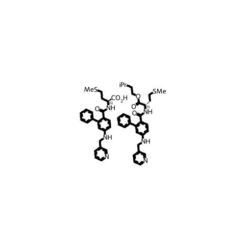 CSCC[C@H](NC(=O)c1ccc(NCc2cccnc2)cc1-c1ccccc1)C(=O)O.CSCC[C@H](NC(=O)c1ccc(NCc2cccnc2)cc1-c1ccccc1)C(=O)OCCC(C)C